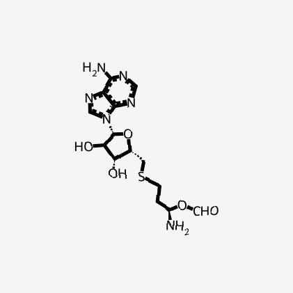 Nc1ncnc2c1ncn2[C@@H]1O[C@H](CSCC[C@H](N)OC=O)[C@H](O)C1O